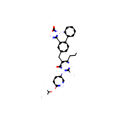 CCCc1nc(C)n(-c2ccc(OC(C)C)nc2)c(=O)c1Cc1ccc(-c2ccccc2)c(-c2noc(=O)[nH]2)c1